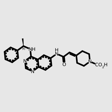 C[C@@H](Nc1ncnc2ccc(NC(=O)C=C3CCN(C(=O)O)CC3)cc12)c1ccccc1